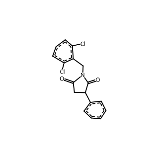 O=C1CC(c2ccccc2)C(=O)N1Cc1c(Cl)cccc1Cl